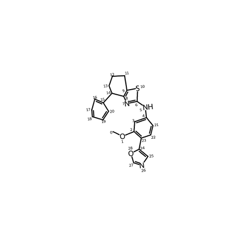 COc1cc(Nc2nc3c(s2)CCCC3c2ccccc2)ccc1-c1cnco1